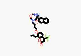 CCCc1c(OCCCCN2COCNC(C)(c3ccc4ccccc4c3)C2=O)ccc2c(C(F)(F)F)cc(=O)oc12